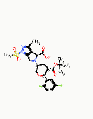 Cc1nn(S(C)(=O)=O)c2c1C(C(=O)O)N([C@H]1CO[C@@H](c3cc(F)ccc3F)[C@@H](C(=O)OC(C)(C)C)C1)C2